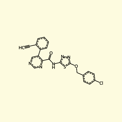 C#Cc1ccccc1-c1cncnc1C(=O)Nc1nnc(OCc2ccc(Cl)cc2)s1